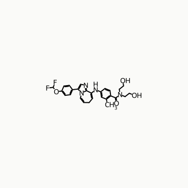 Cc1cc(NC2=CCC=Cn3c(-c4ccc(OC(F)F)cc4)cnc32)ccc1C(=O)N(CCO)CCO